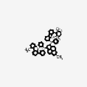 CC1=CCCC(C)=C1c1cccc2c1oc1c(N(c3ccccc3)c3cc(N(c4ccccc4)c4cccc5c4oc4c(-c6c(C)cccc6C)cccc45)c4ccc5cc(C)cc6ccc3c4c65)cccc12